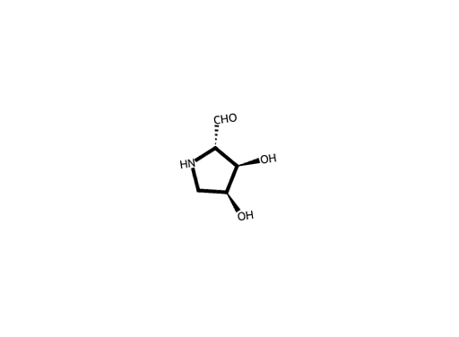 O=C[C@H]1NC[C@H](O)[C@@H]1O